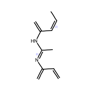 C=CC(=C)/N=C(\C)NC(=C)/C=C\C